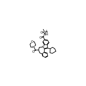 C[SH](=O)(I)NC(=O)c1ccc2c(C3CCCCC3)c3n(c2c1)CC(C(=O)N1CCOCC1)Cc1ccccc1-3